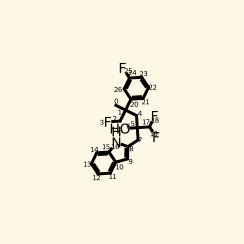 CC(CF)(CC(O)(Cc1cc2ccccc2[nH]1)C(F)F)c1cccc(F)c1